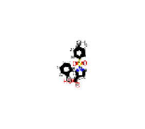 Cc1ccc(S(=O)(=O)N2CCC(C(=O)O)[C@@H]2c2ccccc2C)cc1